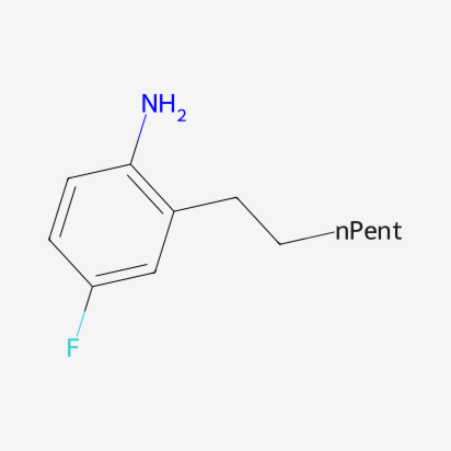 CCCCCCCc1cc(F)ccc1N